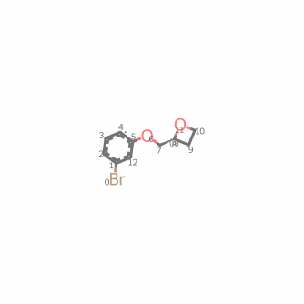 Brc1cc[c]c(OC[C@@H]2CCO2)c1